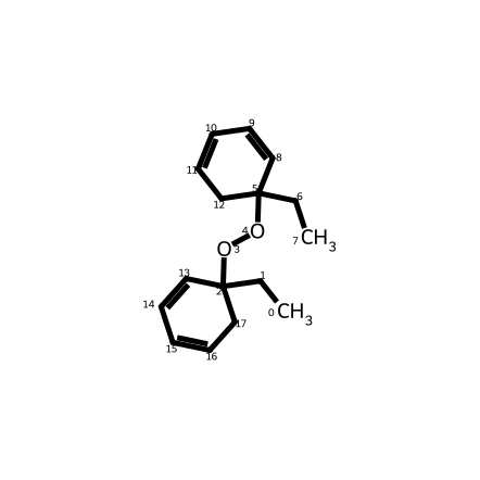 CCC1(OOC2(CC)C=CC=CC2)C=CC=CC1